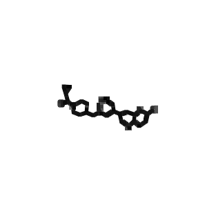 N=C/C(=C\NCC1CCN(C(=O)C2CC2)CC1)c1cnc2ccc(Cl)nc2c1